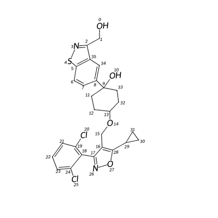 OCc1nsc2ccc(C3(O)CCC(OCc4c(-c5c(Cl)cccc5Cl)noc4C4CC4)CC3)cc12